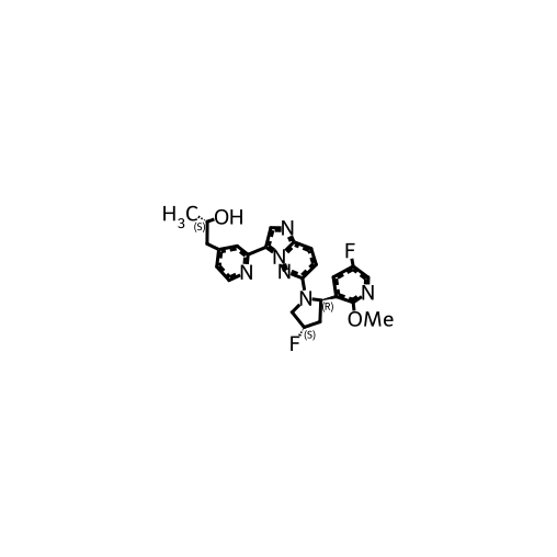 COc1ncc(F)cc1[C@H]1C[C@H](F)CN1c1ccc2ncc(-c3cc(C[C@H](C)O)ccn3)n2n1